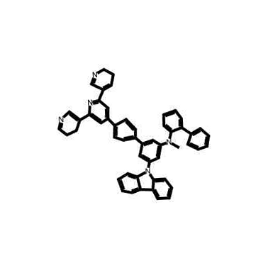 CN(c1cc(-c2ccc(-c3cc(C4=CCCN=C4)nc(C4=CN=CCC4)c3)cc2)cc(-n2c3ccccc3c3ccccc32)c1)c1ccccc1-c1ccccc1